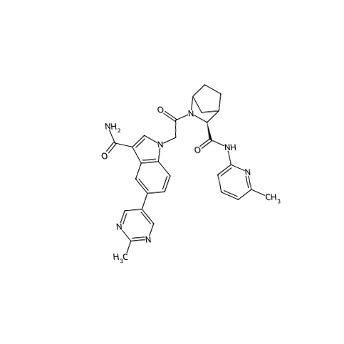 Cc1cccc(NC(=O)[C@@H]2C3CCC(C3)N2C(=O)Cn2cc(C(N)=O)c3cc(-c4cnc(C)nc4)ccc32)n1